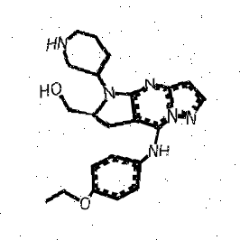 CCOc1ccc(Nc2c3c(nc4ccnn24)N(C2CCCNC2)[C@H](CO)C3)cc1